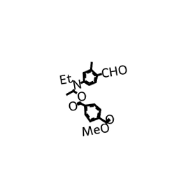 CCN(c1ccc(C=O)c(C)c1)C(C)OC(=O)c1ccc(C(=O)OC)cc1